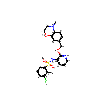 Cc1c(Cl)cccc1S(=O)(=O)Nc1cccnc1OCc1ccc2c(c1)OCCN2C